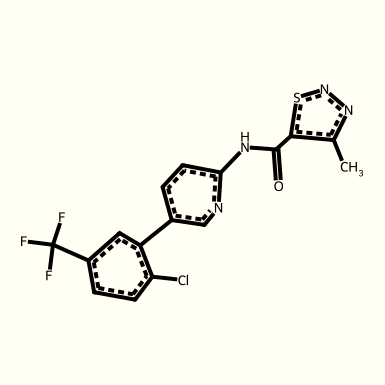 Cc1nnsc1C(=O)Nc1ccc(-c2cc(C(F)(F)F)ccc2Cl)cn1